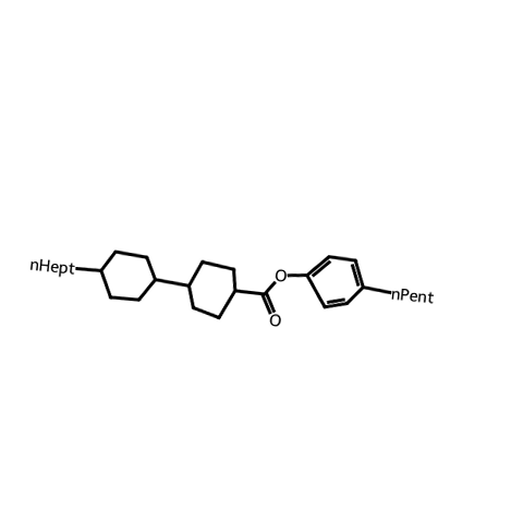 CCCCCCCC1CCC(C2CCC(C(=O)Oc3ccc(CCCCC)cc3)CC2)CC1